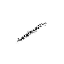 C=CC(=O)OCCc1ccc(C(=O)Oc2ccc(C(=O)Oc3ccc(OC(=O)c4ccc(OC(=O)c5ccc(OCOC(C)=O)cc5)cc4)cc3C)cc2)cc1